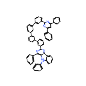 c1ccc(-c2cc(-c3ccccc3)nc(-c3cccc(-c4cccc(-c5cccc(-c6cccc(-c7nc(-c8ccccc8)c8c(n7)c7ccccc7n8-c7ccccc7)c6)c5)c4)c3)n2)cc1